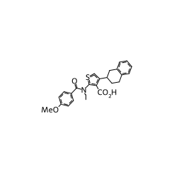 COc1ccc(C(=O)N(I)c2scc(C3CCc4ccccc4C3)c2C(=O)O)cc1